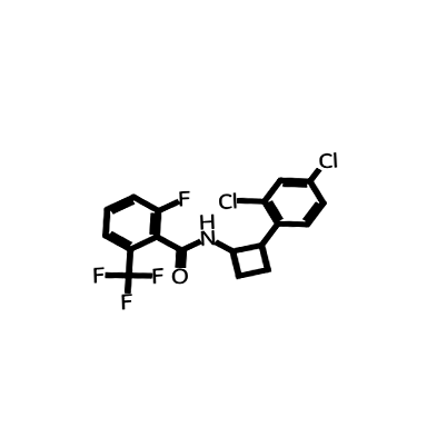 O=C(NC1CCC1c1ccc(Cl)cc1Cl)c1c(F)cccc1C(F)(F)F